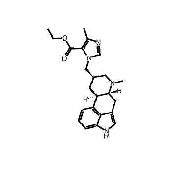 CCOC(=O)c1c(C)ncn1C[C@@H]1C[C@@H]2c3cccc4[nH]cc(c34)C[C@H]2N(C)C1